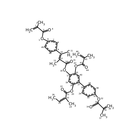 C=C(C)C(=O)Oc1ccc(/C(C)=C(\C)C(=O)Oc2cc(OC(=O)/C(C)=C\C)c(-c3ccc(OC(=O)C(=C)C)cc3)cc2OC(=O)C(=C)C)cc1